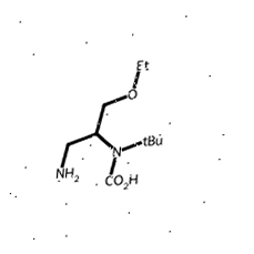 CCOCC(CN)N(C(=O)O)C(C)(C)C